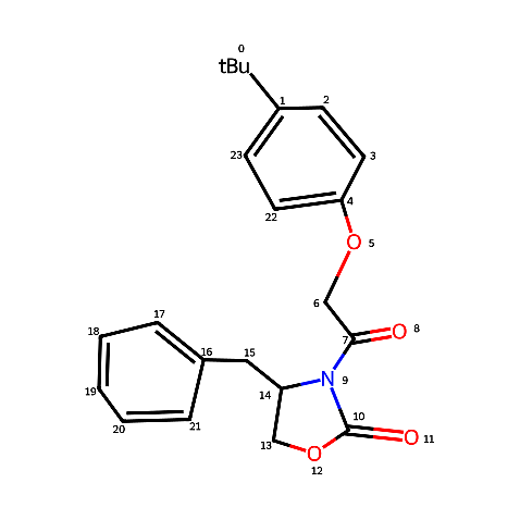 CC(C)(C)c1ccc(OCC(=O)N2C(=O)OCC2Cc2ccccc2)cc1